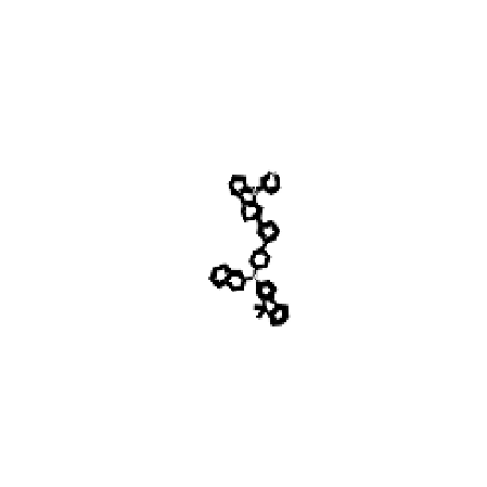 CC1(C)c2ccccc2-c2ccc(N(c3ccc(-c4cccc(-c5ccc6c7ccccc7n(-c7cccnc7)c6c5)c4)cc3)c3ccc4ccccc4c3)cc21